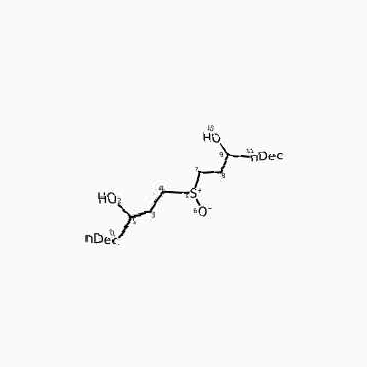 CCCCCCCCCCC(O)CC[S+]([O-])CCC(O)CCCCCCCCCC